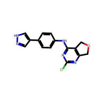 Clc1nc2c(c(Nc3ccc(-c4cn[nH]c4)cc3)n1)COC2